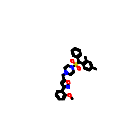 COc1ccccc1-c1cc(CN2CCN(S(=O)(=O)C(c3ccccc3)c3ccc(C)cc3C)CC2)on1